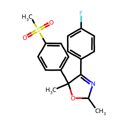 CC1N=C(c2ccc(F)cc2)C(C)(c2ccc(S(C)(=O)=O)cc2)O1